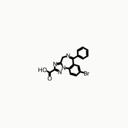 O=C(O)c1nc2n(n1)-c1ccc(Br)cc1C(c1ccccc1)=NC2